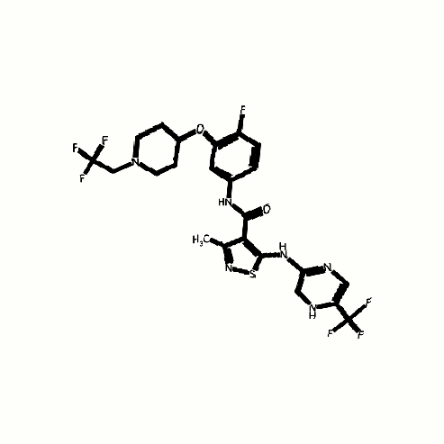 Cc1nsc(NC2=NC=C(C(F)(F)F)NC2)c1C(=O)Nc1ccc(F)c(OC2CCN(CC(F)(F)F)CC2)c1